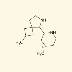 CC1CC2(CCNC2C2C[C@@H](C)CCN2)C1